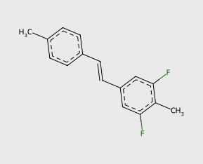 Cc1ccc(C=Cc2cc(F)c(C)c(F)c2)cc1